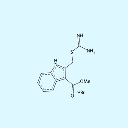 Br.COC(=O)c1c(CSC(=N)N)[nH]c2ccccc12